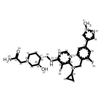 Cn1cc(-c2ccc(CN(c3ncnc(NC[C@H]4CCN(CC(N)=O)C[C@@H]4O)c3F)C3CC3)c(F)c2)cn1